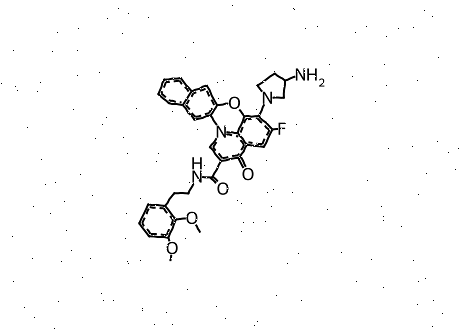 COc1cccc(CCNC(=O)c2cn3c4c(c(N5CCC(N)C5)c(F)cc4c2=O)Oc2cc4ccccc4cc2-3)c1OC